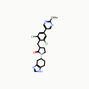 COc1ncc(-c2cc(Cl)c(CC3CCN([C@@H]4CCc5[nH]cnc5C4)C3=O)c(Cl)c2)cn1